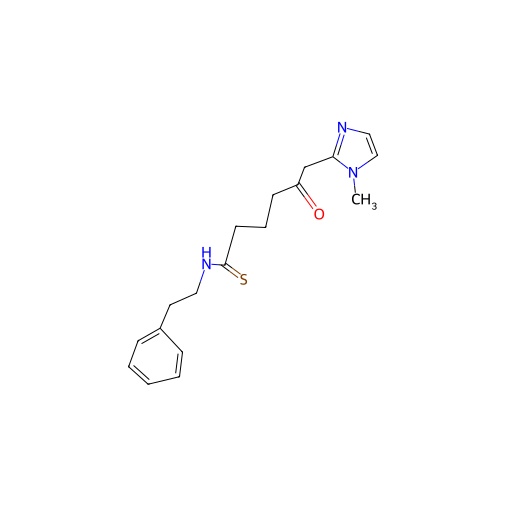 Cn1ccnc1CC(=O)CCCC(=S)NCCc1ccccc1